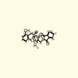 Cc1cccc(C)c1CS(=O)(=O)NC(C)CN1C(=O)c2ccccc2C1=O